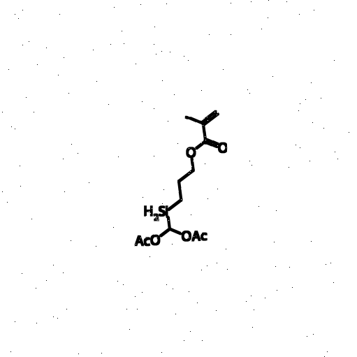 C=C(C)C(=O)OCCC[SiH2]C(OC(C)=O)OC(C)=O